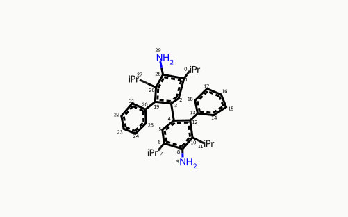 CC(C)c1cc(-c2cc(C(C)C)c(N)c(C(C)C)c2-c2ccccc2)c(-c2ccccc2)c(C(C)C)c1N